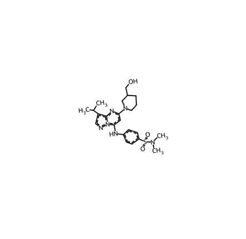 CC(C)c1cnn2c(Nc3ccc(S(=O)(=O)N(C)C)cc3)cc(N3CCCC(CO)C3)nc12